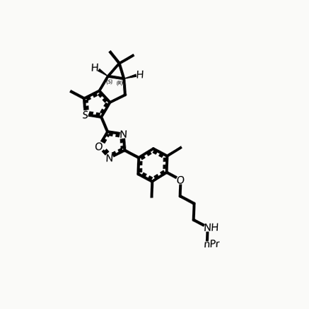 CCCNCCCOc1c(C)cc(-c2noc(-c3sc(C)c4c3C[C@@H]3[C@H]4C3(C)C)n2)cc1C